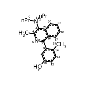 CCCN(CCC)c1c(C)nc(-c2cc(O)ccc2C)c2ccccc12